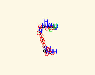 C[C@@H]1CN(C(=O)c2ccc(NC(=O)/C(N)=C/C3=C(N)N[C@H](c4c(Cl)ccc(F)c4Cl)O3)cc2)C[C@H](C)N1C(=O)CCOCCOCCOCCOCCNc1cccc2c1C(=O)N(C1CCC(=O)NC1=O)C2=O